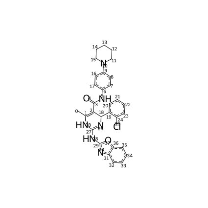 CC1=C(C(=O)Nc2ccc(N3CCCCC3)cc2)C(c2ccccc2Cl)N=C(Nc2nc3ccccc3o2)N1